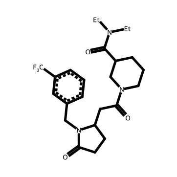 CCN(CC)C(=O)C1CCCN(C(=O)CC2CCC(=O)N2Cc2cccc(C(F)(F)F)c2)C1